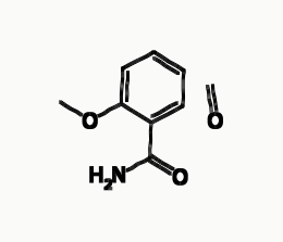 C=O.COc1ccccc1C(N)=O